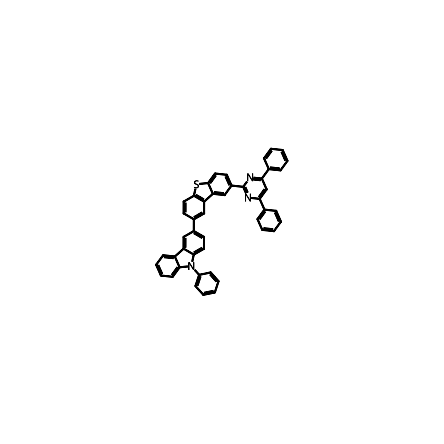 c1ccc(-c2cc(-c3ccccc3)nc(-c3ccc4sc5ccc(-c6ccc7c(c6)c6ccccc6n7-c6ccccc6)cc5c4c3)n2)cc1